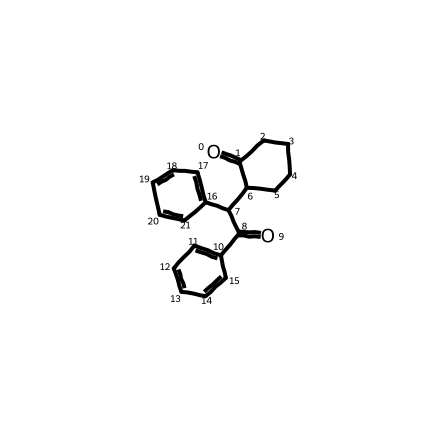 O=C1CCCCC1C(C(=O)c1ccccc1)c1ccccc1